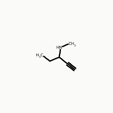 [C]#CC(CC)NC